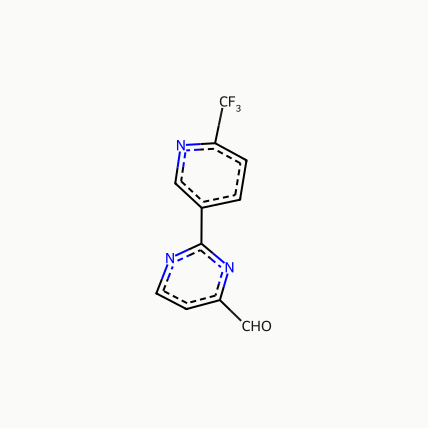 O=Cc1ccnc(-c2ccc(C(F)(F)F)nc2)n1